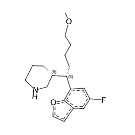 COCCCC[C@H](c1cc(F)cc2ccoc12)[C@H]1CCCNC1